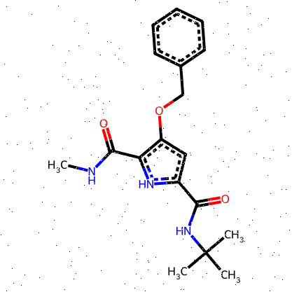 CNC(=O)c1[nH]c(C(=O)NC(C)(C)C)cc1OCc1ccccc1